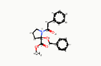 COC(=O)[C@]1(OCc2ccccc2)CCCN1C(=O)Cc1ccccc1